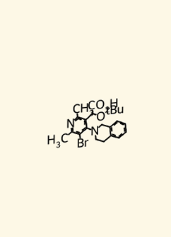 Cc1nc(C)c(C(OC(C)(C)C)C(=O)O)c(N2CCc3ccccc3C2)c1Br